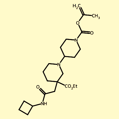 C=C(C)OC(=O)N1CCC(N2CCCC(CC(=O)NC3CCC3)(C(=O)OCC)C2)CC1